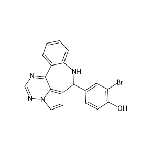 Oc1ccc(C2Nc3ccccc3-c3ncnn4ccc2c34)cc1Br